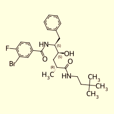 C[C@H](C[C@H](O)[C@H](Cc1ccccc1)NC(=O)c1ccc(F)c(Br)c1)C(=O)NCCC(C)(C)C